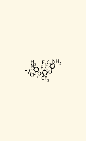 Nc1ccc(Oc2ccc(Oc3ccc(N)c(C(F)(F)F)c3C(F)(F)F)c(C(F)(F)F)c2)c(C(F)(F)F)c1C(F)(F)F